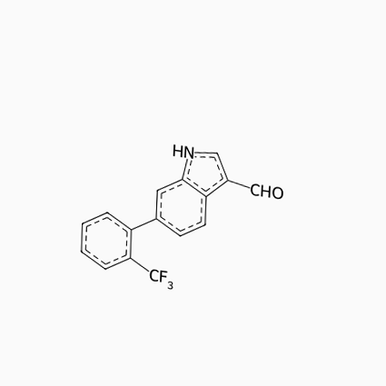 O=Cc1c[nH]c2cc(-c3ccccc3C(F)(F)F)ccc12